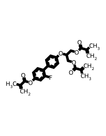 C=C(C)C(=O)OCC(COC(=O)C(=C)C)Oc1ccc(-c2ccc(OC(=O)C(=C)C)cc2F)cc1